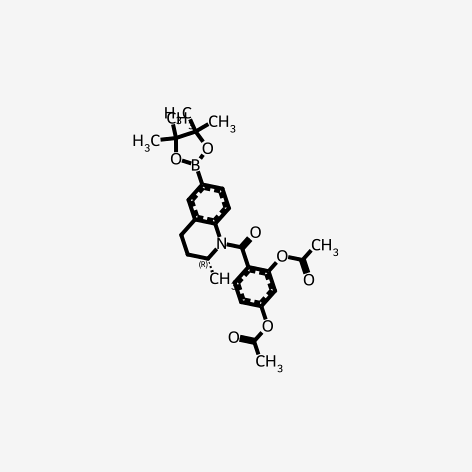 CC(=O)Oc1ccc(C(=O)N2c3ccc(B4OC(C)(C)C(C)(C)O4)cc3CC[C@H]2C)c(OC(C)=O)c1